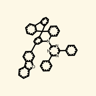 c1ccc(-c2nc(-c3ccccc3)nc(N3c4ccccc4C4(c5ccccc5-c5ccccc54)c4ccc(-c5ccc6c(c5)oc5ccccc56)cc43)n2)cc1